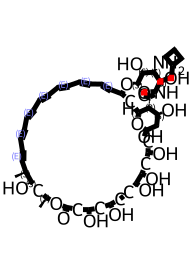 C[C@H]1C[C@H](O)[C@@H](C)/C=C/C=C/C=C/C=C/C=C/C=C/C=C/C(O[C@@H]2OC[C@@H](O)[C@H](N)[C@@H]2O)C[C@@H]2OC(O)(CC(O)CC(O)C(O)CCC(O)CC(O)CC(=O)O1)C[C@H](O)[C@H]2C(=O)NCCC1CCC1